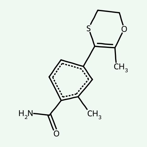 CC1=C(c2ccc(C(N)=O)c(C)c2)SCCO1